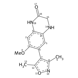 COc1cc2c(cc1-c1c(C)noc1C)NCC(=O)N2